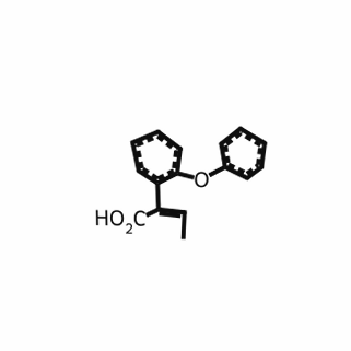 CC=C(C(=O)O)c1ccccc1Oc1ccccc1